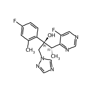 Cc1cc(F)ccc1[C@@](O)(Cn1cncn1)[C@@H](C)c1ncncc1F